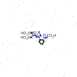 O=C(O)CN[C@@H]1CCCC[C@H]1N(CCN(CC(=O)O)CC(=O)O)CS(=O)(=O)O